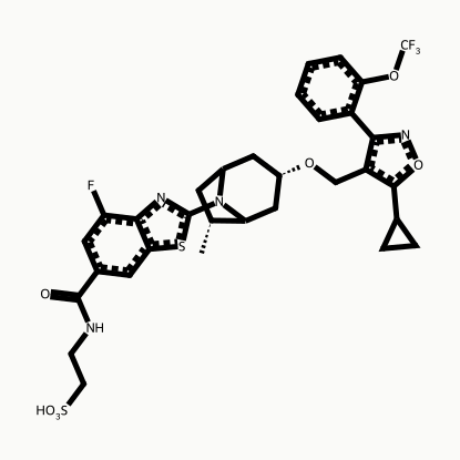 C[C@@H]1CC2C[C@H](OCc3c(-c4ccccc4OC(F)(F)F)noc3C3CC3)CC1N2c1nc2c(F)cc(C(=O)NCCS(=O)(=O)O)cc2s1